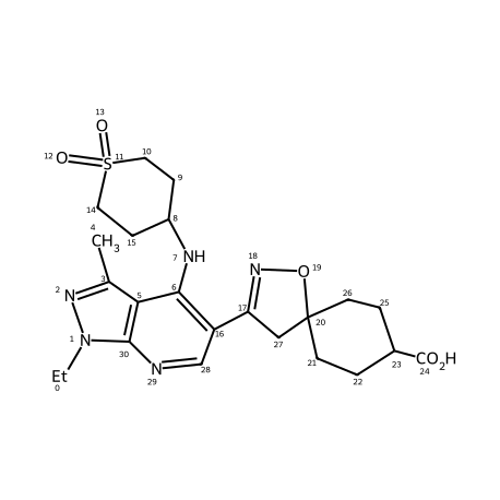 CCn1nc(C)c2c(NC3CCS(=O)(=O)CC3)c(C3=NOC4(CCC(C(=O)O)CC4)C3)cnc21